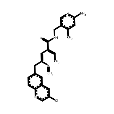 C=N/C(=C\C(=C/C)C(=O)NCc1cnc(N)cc1C)Cc1ccc2ncc(Cl)cc2c1